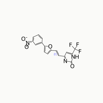 O=c1nc(/C=C/c2ccc(-c3cccc([N+](=O)[O-])c3)o2)cc(C(F)(F)F)[nH]1